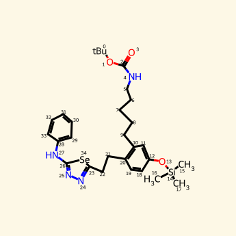 CC(C)(C)OC(=O)NCCCCCc1cc(O[Si](C)(C)C)ccc1CCc1nnc(Nc2ccccc2)[se]1